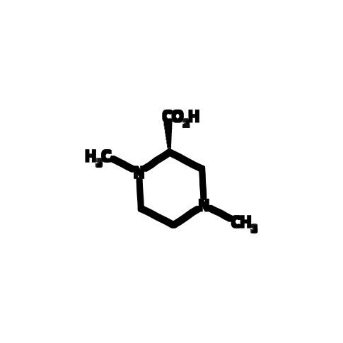 CN1CCN(C)[C@H](C(=O)O)C1